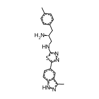 Cc1ccc(C[C@H](N)CNc2nnc(-c3ccc4[nH]nc(C)c4c3)s2)cc1